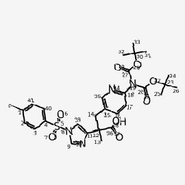 Cc1ccc(S(=O)(=O)n2cnc(C(C)(Cc3ccc(N(C(=O)OC(C)(C)C)C(=O)OC(C)(C)C)nc3)C(=O)O)c2)cc1